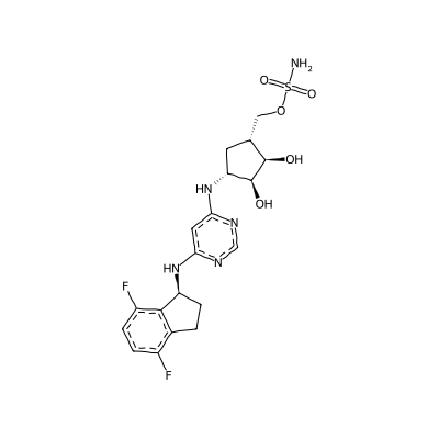 NS(=O)(=O)OC[C@H]1C[C@@H](Nc2cc(N[C@H]3CCc4c(F)ccc(F)c43)ncn2)[C@H](O)[C@@H]1O